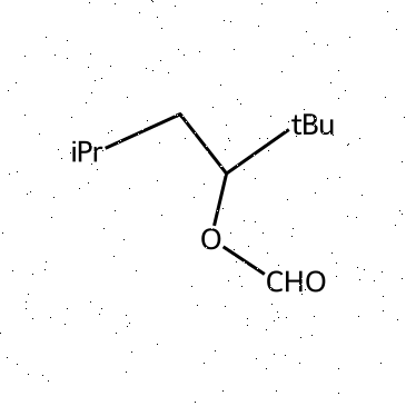 CC(C)CC(OC=O)C(C)(C)C